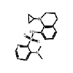 CN(C)c1cccnc1S(=O)(=O)Nc1cccc2c1N(C1CC1)CCC2